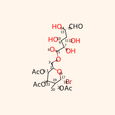 CC(=O)O[C@@H]1[C@@H](COC(=O)[C@@H](O)[C@H](O)[C@@H](O)[C@H](O)C=O)O[C@H](Br)[C@](C)(OC(C)=O)[C@H]1OC(C)=O